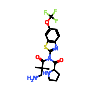 CC(C)(CN)C(=O)N(C(=O)[C@H]1CCCN1)c1nc2ccc(OC(F)(F)F)cc2s1